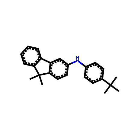 CC(C)(C)c1ccc(Nc2ccc3c(c2)-c2ccccc2C3(C)C)cc1